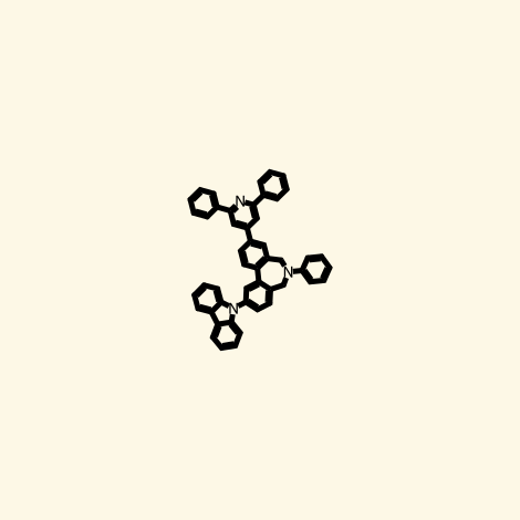 c1ccc(-c2cc(-c3ccc4c(c3)CN(c3ccccc3)Cc3ccc(-n5c6ccccc6c6ccccc65)cc3-4)cc(-c3ccccc3)n2)cc1